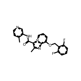 Cc1ccncc1NC(=O)c1c(C)nc2c(OCc3c(F)cccc3F)cccn12